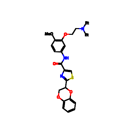 CCN(CC)CCOc1cc(NC(=O)c2csc(C3COc4ccccc4O3)n2)ccc1OC